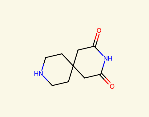 O=C1CC2(CCNCC2)CC(=O)N1